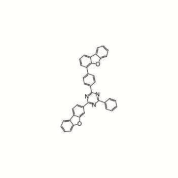 c1ccc(-c2nc(-c3ccc(-c4cccc5c4oc4ccccc45)cc3)nc(-c3ccc4c(c3)oc3ccccc34)n2)cc1